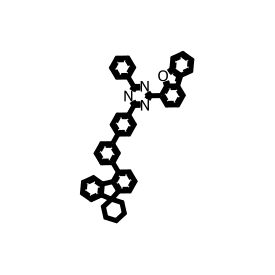 c1ccc(-c2nc(-c3ccc(-c4cccc(-c5cccc6c5-c5ccccc5C65CCCCC5)c4)cc3)nc(-c3cccc4c3oc3ccccc34)n2)cc1